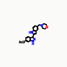 CC(=O)Oc1ccc2c(-c3cc4cc(CN5CCOCC5)ccc4[nH]3)n[nH]c2c1